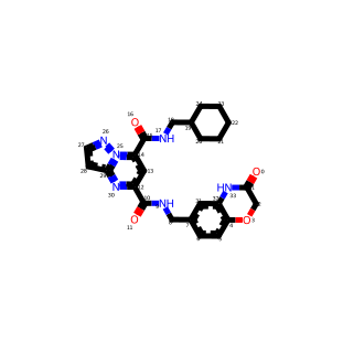 O=C1COc2ccc(CNC(=O)c3cc(C(=O)NCC4CCCCC4)n4nccc4n3)cc2N1